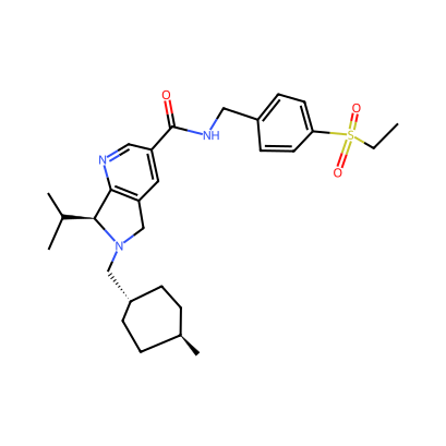 CCS(=O)(=O)c1ccc(CNC(=O)c2cnc3c(c2)CN(C[C@H]2CC[C@H](C)CC2)[C@H]3C(C)C)cc1